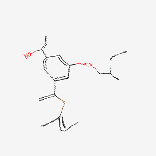 C=C(O)c1cc(OCC(C)CC)cc(C(=C)S/C(C)=C\C)c1